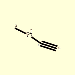 C#[C][Pt][CH3]